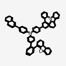 c1cc(-c2ccc(N(c3ccc(-c4ccc5ccccc5c4)cc3)c3ccc(-c4ccccc4-c4cccc5c4oc4ccccc45)cc3)cc2)cc(-c2ccccc2-n2c3ccccc3c3ccccc32)c1